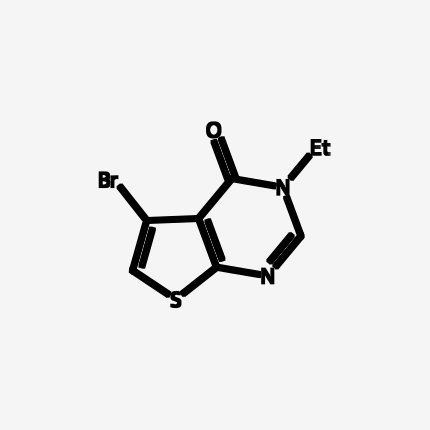 CCn1cnc2scc(Br)c2c1=O